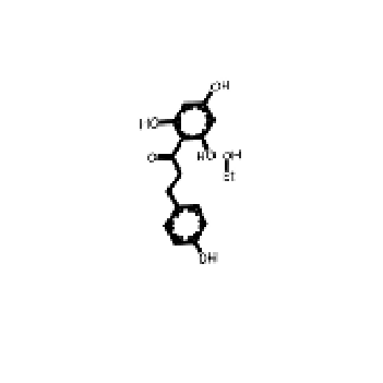 CCO.O=C(CCc1ccc(O)cc1)c1c(O)cc(O)cc1O